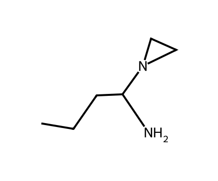 CCCC(N)N1CC1